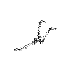 CCCCCCCCCCCCCCCCCCCCCC(=O)OCC(CC)(COC(=O)CCCCCCCCCCCCCCCCCCCCC)COC(=O)CCCCCCCCCCCCCCCCCCCCC